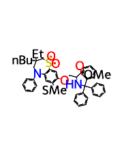 CCCC[C@]1(CC)CN(c2ccccc2)c2cc(SC)c(OCC(NC(c3ccccc3)(c3ccccc3)c3ccccc3)C(=O)OC)cc2S(=O)(=O)C1